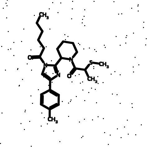 CCCCCC(=O)n1cc(-c2ccc(C)cc2)nc1C1CCCCN1C(=O)C(C)SC